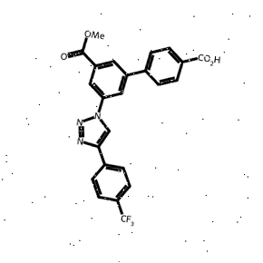 COC(=O)c1cc(-c2ccc(C(=O)O)cc2)cc(-n2cc(-c3ccc(C(F)(F)F)cc3)nn2)c1